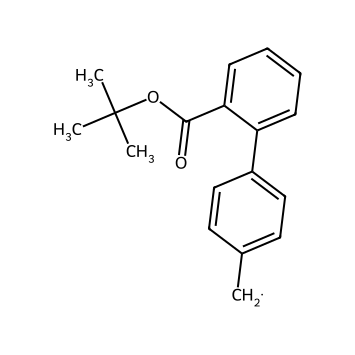 [CH2]c1ccc(-c2ccccc2C(=O)OC(C)(C)C)cc1